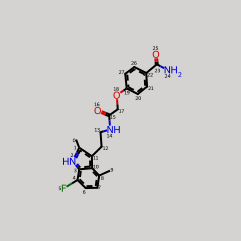 Cc1[nH]c2c(F)ccc(C)c2c1CCNC(=O)COc1ccc(C(N)=O)cc1